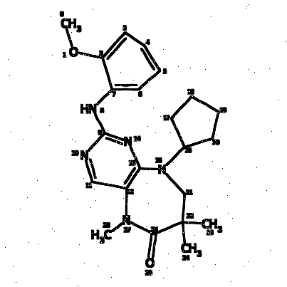 COc1ccccc1Nc1ncc2c(n1)N(C1CCCC1)CC(C)(C)C(=O)N2C